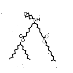 CCCCCCCC(CCCCCCC)COC(=O)CCCCCCC(CCCCCCC(=O)OCCCCCCCC(C)C)NC1CC2(COC2)C1